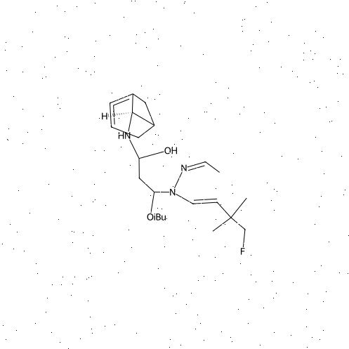 C/C=N\N(/C=C/C(C)(C)CF)C(CC(O)N[C@H]1C2=C=CCC1C2)OCC(C)C